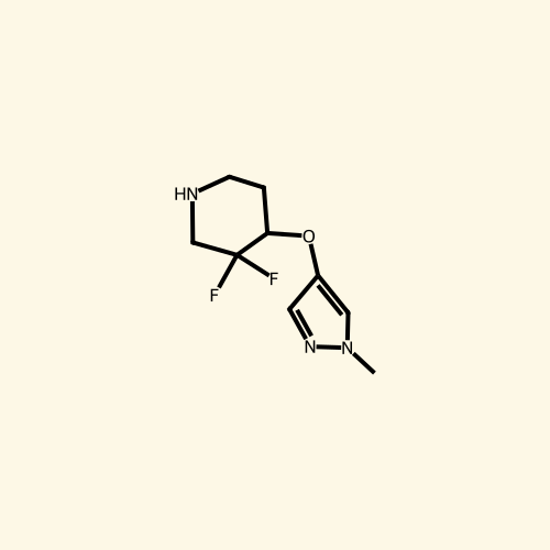 Cn1cc(OC2CCNCC2(F)F)cn1